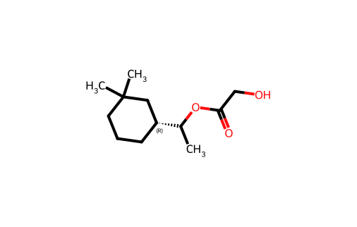 CC(OC(=O)CO)[C@@H]1CCCC(C)(C)C1